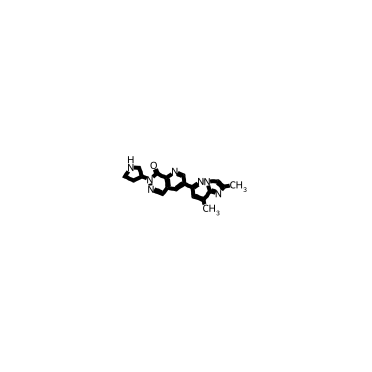 Cc1cn2nc(-c3cnc4c(=O)n(C5CCNC5)ncc4c3)cc(C)c2n1